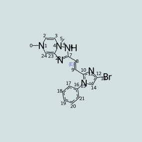 CN1C=C[N+]2(C)NC(/C=C/c3nc(Br)cn3-c3ccccc3)=NC2=C1